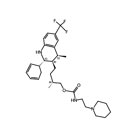 C[C@H](CC[C@@H]1[C@H](C)c2cc(C(F)(F)F)ccc2N[C@H]1C1C=CC=CC1)COC(=O)NCCN1CCCCC1